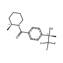 C[C@H]1CCCCN1C(=O)c1ccc([C@](C)(O)C(F)(F)F)cc1